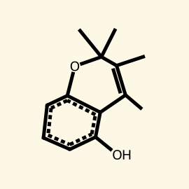 CC1=C(C)C(C)(C)Oc2cccc(O)c21